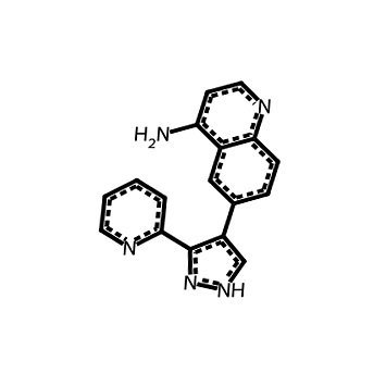 Nc1ccnc2ccc(-c3c[nH]nc3-c3ccccn3)cc12